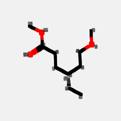 CC[C@@H](CCOC)CCC(=O)OC